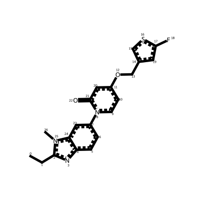 CCc1nc2ccc(-n3ccc(OCc4csc(F)c4)cc3=O)cc2n1C